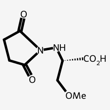 COC[C@H](NN1C(=O)CCC1=O)C(=O)O